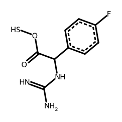 N=C(N)NC(C(=O)OS)c1ccc(F)cc1